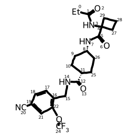 CCC(=O)NC1(C(=O)N[C@H]2CC[C@@H](C(=O)NCc3ccc(C#N)cc3OC(F)(F)F)CC2)CCC1